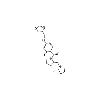 C[C@H]1CCCN1CC1CCCN1C(=O)c1ccc(OCc2cscn2)cc1F